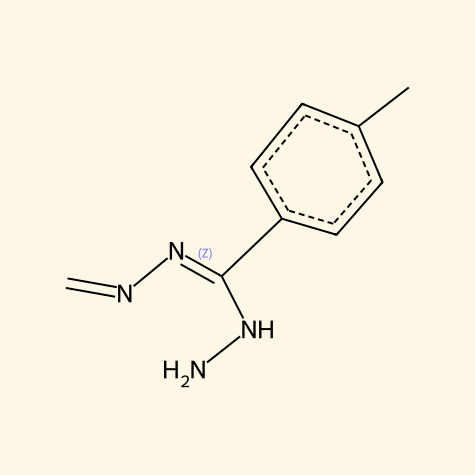 C=N/N=C(\NN)c1ccc(C)cc1